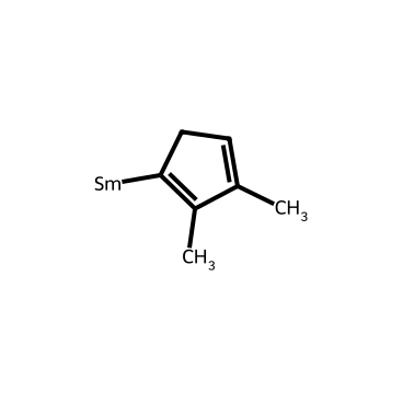 CC1=CC[C]([Sm])=C1C